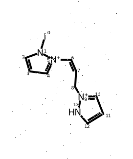 In1ccc[n+]1/C=C\C[n+]1ccc[nH]1